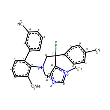 COc1cccc(-c2cccc(C#N)c2)c1N(C)CC(F)(c1ccc(C#N)cc1)c1cncn1C